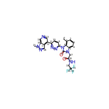 Cc1cccc2c1n(-c1ccc(-c3cncc4c3cnn4C)nn1)c(=O)n2CC(=O)NCC(F)(F)F